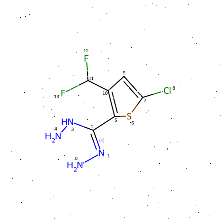 N/N=C(\NN)c1sc(Cl)cc1C(F)F